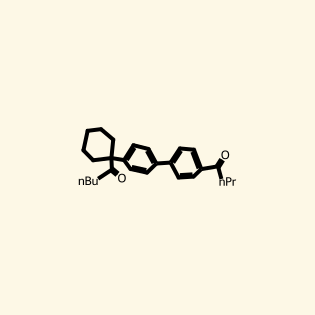 CCCCC(=O)C1(c2ccc(-c3ccc(C(=O)CCC)cc3)cc2)CCCCC1